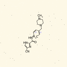 C/C=C(\C=C/CNC(=O)c1nc(C#N)c[nH]1)CN1CCN(C)CC1